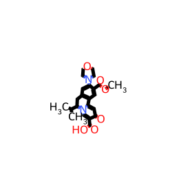 COC(=O)c1cc2c(cc1N1CCOCC1)CC(C(C)C)n1cc(C(=O)O)c(=O)cc1-2